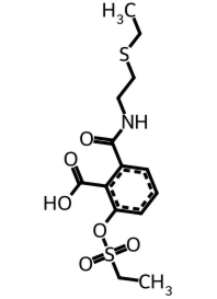 CCSCCNC(=O)c1cccc(OS(=O)(=O)CC)c1C(=O)O